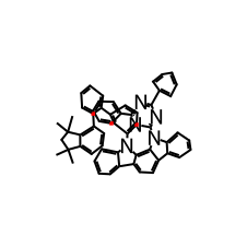 CC1(C)CC(C)(C)c2c(-c3ccccc3-c3cccc(-n4c5ccccc5c5ccc6c7ccccc7n(-c7nc(-c8ccccc8)nc(-c8ccccc8)n7)c6c54)c3)cccc21